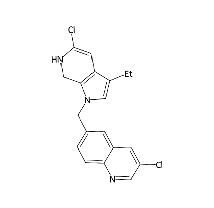 CCc1cn(Cc2ccc3ncc(Cl)cc3c2)c2c1C=C(Cl)NC2